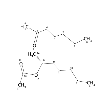 CCCCCC(C)=O.CCCCC[C@@H](C)OC(C)=O